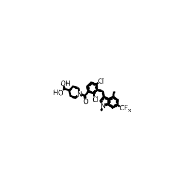 Cc1cc(C(F)(F)F)cc2c1c(Cc1c(Cl)ccc(C(=O)N3CCC(C(O)O)CC3)c1Cl)cn2C